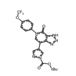 CC(C)(C)OC(=O)n1cc(-c2cn(-c3ccc(OC(F)(F)F)cc3)c(=O)c3[nH]nnc23)cn1